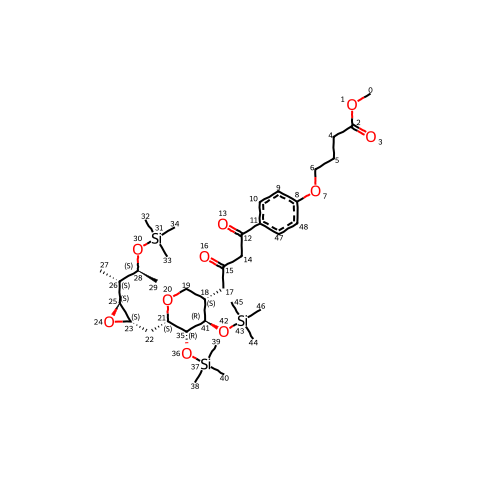 COC(=O)CCCOc1ccc(C(=O)CC(=O)C[C@H]2CO[C@@H](C[C@@H]3O[C@H]3[C@H](C)[C@H](C)O[Si](C)(C)C)[C@@H](O[Si](C)(C)C)[C@@H]2O[Si](C)(C)C)cc1